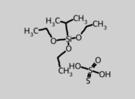 CCO[Si](OCC)(OCC)C(C)C.O=S(O)(O)=S